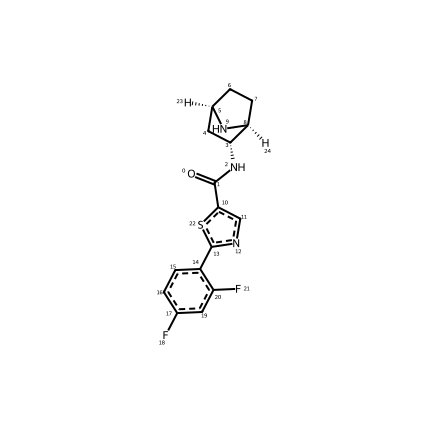 O=C(N[C@@H]1C[C@H]2CC[C@@H]1N2)c1cnc(-c2ccc(F)cc2F)s1